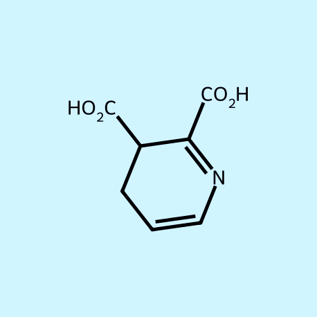 O=C(O)C1=NC=CCC1C(=O)O